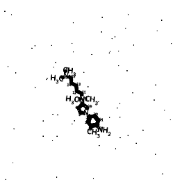 Cc1cc(N2CCC([N+](C)(C)CCCCCN(C)C)C2)ccc1N